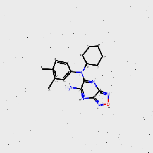 Cc1ccc(N(c2nc3nonc3nc2N)C2CCCCC2)cc1C